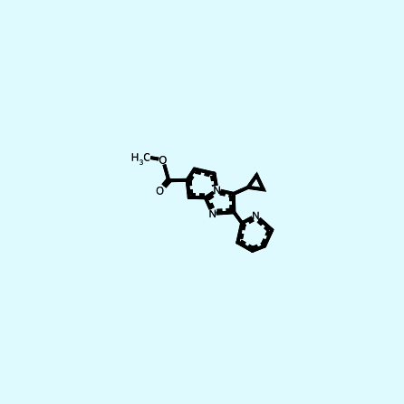 COC(=O)c1ccn2c(C3CC3)c(-c3ccccn3)nc2c1